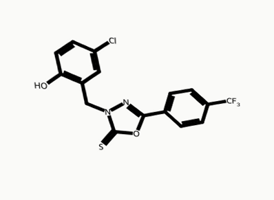 Oc1ccc(Cl)cc1Cn1nc(-c2ccc(C(F)(F)F)cc2)oc1=S